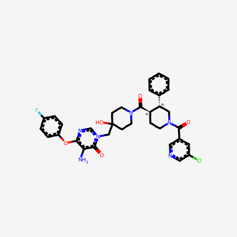 Nc1c(Oc2ccc(F)cc2)ncn(CC2(O)CCN(C(=O)[C@@H]3CCN(C(=O)c4cncc(Cl)c4)C[C@H]3c3ccccc3)CC2)c1=O